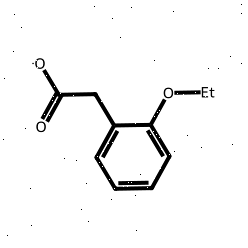 CCOc1ccccc1CC([O])=O